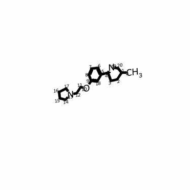 CC1CCC(c2cccc(OCCN3CCCC3)c2)=NC1